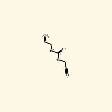 C#CCNC(=O)NCC=C